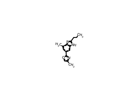 CCCc1nc2c(C)cc(-c3nc(C)co3)cc2[nH]1